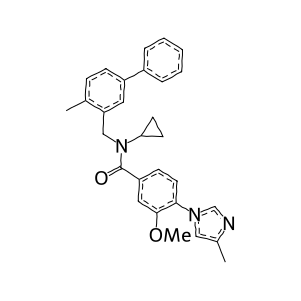 COc1cc(C(=O)N(Cc2cc(-c3ccccc3)ccc2C)C2CC2)ccc1-n1cnc(C)c1